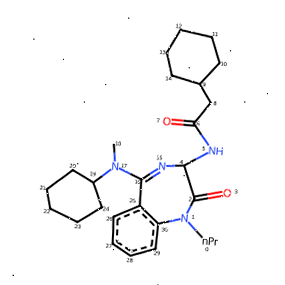 CCCN1C(=O)C(NC(=O)CC2CCCCC2)N=C(N(C)C2CCCCC2)c2ccccc21